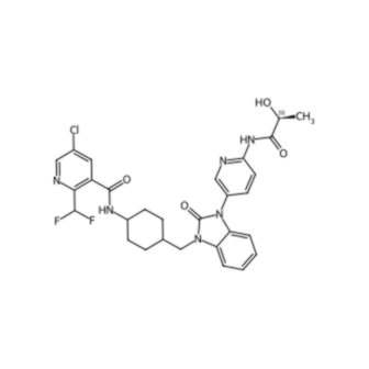 C[C@H](O)C(=O)Nc1ccc(-n2c(=O)n(CC3CCC(NC(=O)c4cc(Cl)cnc4C(F)F)CC3)c3ccccc32)cn1